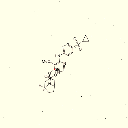 COc1c(Nc2ccc(S(=O)(=O)C3CC3)nc2)ncnc1O[C@H]1CC2CC[C@@H](C1)N2C(=O)OC(C)(C)C